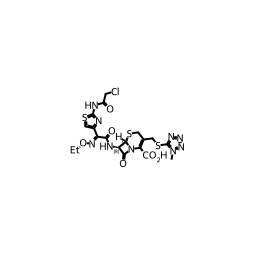 CCON=C(C(=O)N[C@@H]1C(=O)N2C(C(=O)O)=C(CSc3nnnn3C)CS[C@@H]12)c1csc(NC(=O)CCl)n1